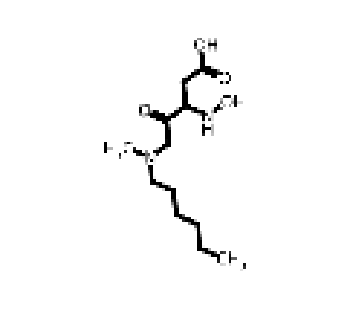 CCCCCCN(C)CC(=O)C(CC(=O)O)NO